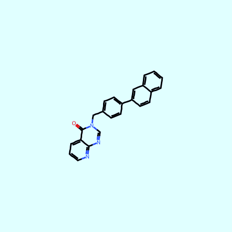 O=c1c2cccnc2ncn1Cc1ccc(-c2ccc3ccccc3c2)cc1